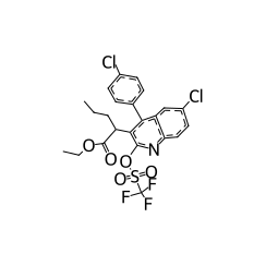 CCCC(C(=O)OCC)c1c(OS(=O)(=O)C(F)(F)F)nc2ccc(Cl)cc2c1-c1ccc(Cl)cc1